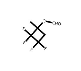 CC1(OC=O)CC(F)(F)C1(F)F